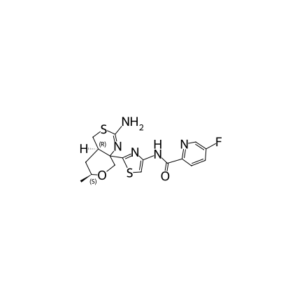 C[C@H]1C[C@H]2CSC(N)=NC2(c2nc(NC(=O)c3ccc(F)cn3)cs2)CO1